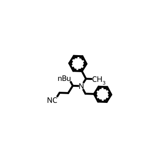 CCCCC(CCC#N)N(Cc1ccccc1)C(C)c1ccccc1